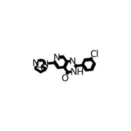 O=c1[nH]c(-c2cccc(Cl)c2)nc2cnc(N3CCN4CCC3CC4)cc12